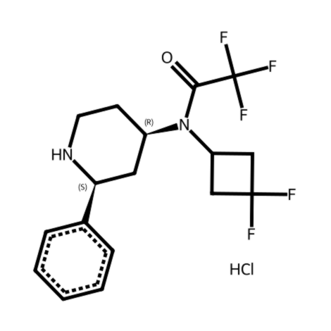 Cl.O=C(N(C1CC(F)(F)C1)[C@@H]1CCN[C@H](c2ccccc2)C1)C(F)(F)F